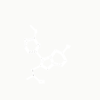 CSc1nccc(-n2c([CH]C(C)O)cc3ccc(Br)cc32)n1